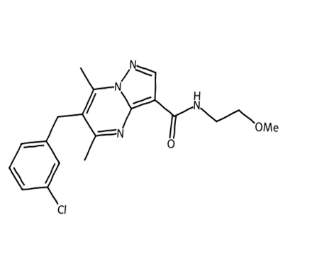 COCCNC(=O)c1cnn2c(C)c(Cc3cccc(Cl)c3)c(C)nc12